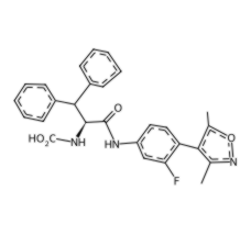 Cc1noc(C)c1-c1ccc(NC(=O)[C@@H](NC(=O)O)C(c2ccccc2)c2ccccc2)cc1F